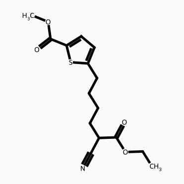 CCOC(=O)C(C#N)CCCCc1c[c]c(C(=O)OC)s1